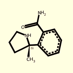 C[C@@]1(c2ccccc2C(N)=O)CCCN1